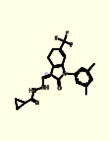 Cc1cc(C)cc(N2C(=O)/C(=C\NNC(=O)C3CC3)C3=C2C=C(C(F)(F)F)CC3)c1